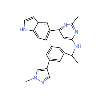 Cc1nc(NC(C)c2cccc(-c3cnn(C)c3)c2)cc(-c2ccc3[nH]ccc3c2)n1